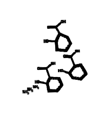 N.N.N.O=C(O)c1ccccc1O.O=C(O)c1ccccc1O.O=C(O)c1ccccc1O